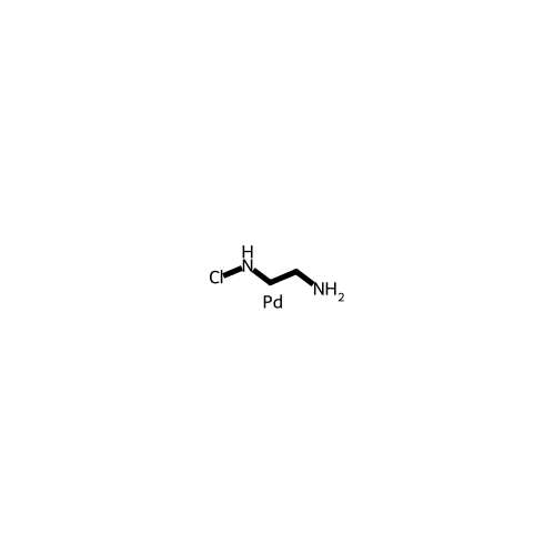 NCCNCl.[Pd]